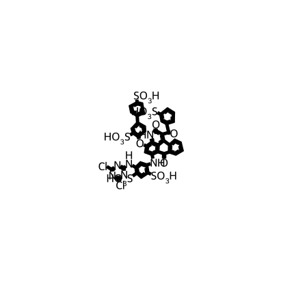 O=C(c1cccc(S(=O)(=O)O)c1)c1c2c3c(c(Nc4cc(Nc5nc(Cl)nc(Cl)n5)c(S(=O)(=O)O)cc4S(=O)(=O)O)cc(Oc4ccc(-c5ccc(S(=O)(=O)O)cc5)cc4S(=O)(=O)O)c3[nH]c1=O)C(=O)c1ccccc1-2